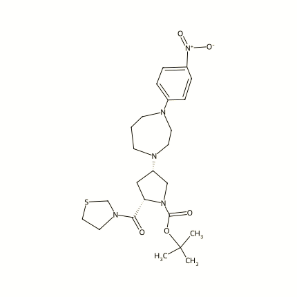 CC(C)(C)OC(=O)N1C[C@@H](N2CCCN(c3ccc([N+](=O)[O-])cc3)CC2)C[C@H]1C(=O)N1CCSC1